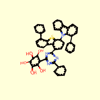 Oc1c(O)c(O)c(-c2nc(-c3ccccc3)nc(-c3ccc(-n4c5ccccc5c5cccc(-c6ccccc6)c54)c4sc5c(-c6ccccc6)cccc5c34)n2)c(O)c1O